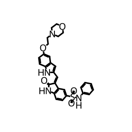 O=C1Nc2ccc(S(=O)(=O)Nc3ccccc3)cc2C1=Cc1cc2cc(OCCN3CCOCC3)ccc2[nH]1